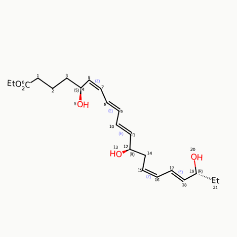 CCOC(=O)CCC[C@H](O)\C=C/C=C/C=C/[C@H](O)C/C=C\C=C\[C@H](O)CC